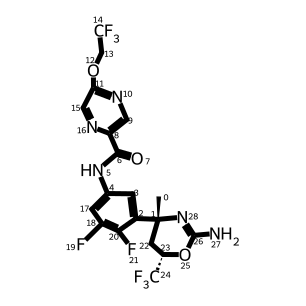 C[C@]1(c2cc(NC(=O)c3cnc(OCC(F)(F)F)cn3)cc(F)c2F)C[C@@H](C(F)(F)F)OC(N)=N1